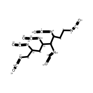 O=C=NCCC(N=C=O)C(N=C=O)C(CC(CN=C=O)N=C=O)N=C=O